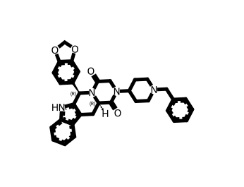 O=C1[C@H]2Cc3c([nH]c4ccccc34)[C@@H](c3ccc4c(c3)OCO4)N2C(=O)CN1C1CCN(Cc2ccccc2)CC1